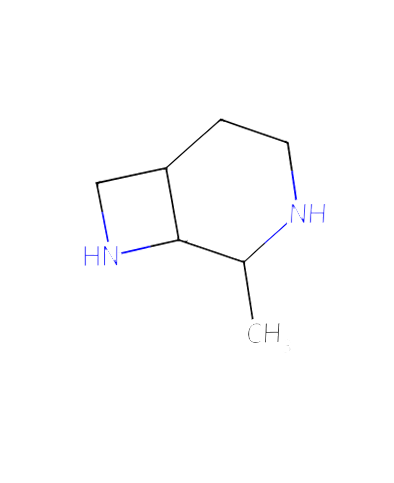 CC1NCCC2CN[C]21